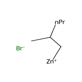 CCCC(C)[CH2][Zn+].[Br-]